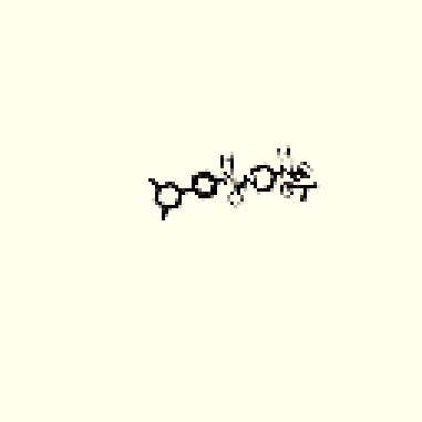 CC1CC(C)CC(c2ccc(NC(=O)N3CCC(NS(=O)(=O)C(C)C)CC3)cc2)C1